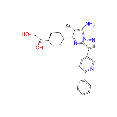 CC(=O)c1c(N)n2ncc(-c3ccc(-c4ccccc4)nc3)c2nc1[C@H]1CC[C@H]([C@@H](O)CO)CC1